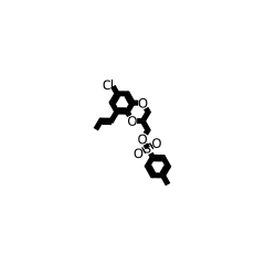 CC=Cc1cc(Cl)cc2c1OC(COS(=O)(=O)c1ccc(C)cc1)CO2